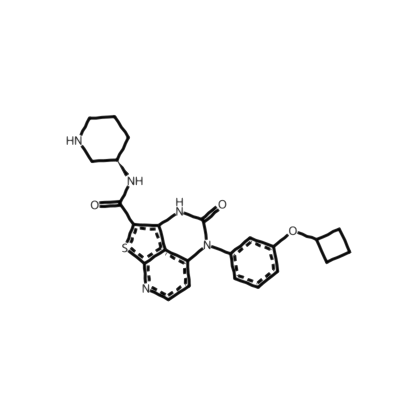 O=C(N[C@@H]1CCCNC1)c1sc2nccc3c2c1NC(=O)N3c1cccc(OC2CCC2)c1